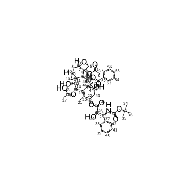 CC(=O)O[C@@]12CO[C@@H]1C[C@@H]1C[C@@]13C(O)[C@H](OC(C)O)C1=C(C)[C@@H](OC(=O)[C@H](O)[C@@H](NC(=O)OC(C)(C)C)c4ccccc4)C[C@]4(O)[C@@]1(C)[C@@]4(OC(=O)c1ccccc1)[C@H]23